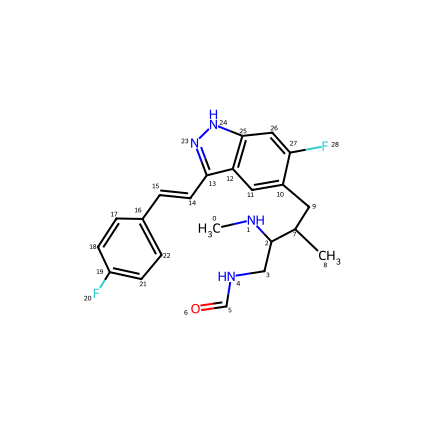 CNC(CNC=O)C(C)Cc1cc2c(/C=C/c3ccc(F)cc3)n[nH]c2cc1F